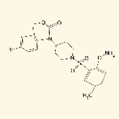 CC1C=C(S(=O)(=O)N2CCC(N3C(=O)OCc4cc(Br)ccc43)CC2)C(ON)=CC1